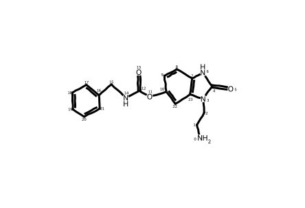 NCCn1c(=O)[nH]c2ccc(OC(=O)NCc3ccccc3)cc21